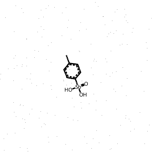 Cc1cc[c]([Sb](=[O])([OH])[OH])cc1